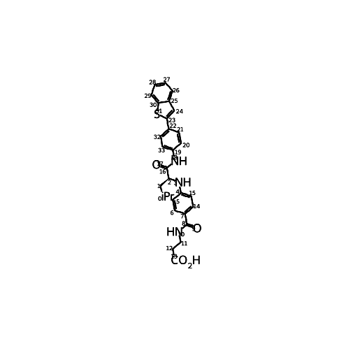 CC(C)C[C@H](Nc1ccc(C(=O)NCCC(=O)O)cc1)C(=O)Nc1ccc(-c2cc3ccccc3s2)cc1